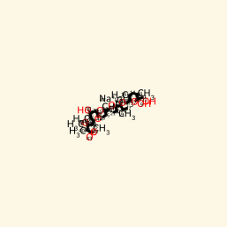 CC[C@@]1([C@H]2O[C@H]([C@H]3O[C@@](O)(CO)[C@H](C)C[C@@H]3C)C[C@H]2C)CC[C@H]([C@@]2(C)CC[C@]3(C[C@H](O)[C@@H](C)[C@@H]([C@H](C)[C@H](OC)[C@@H](C)C(=O)[O-])O3)O2)O1.[Na+]